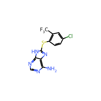 Nc1ncnc2[nH]c(Sc3ccc(Cl)cc3C(F)(F)F)nc12